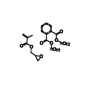 C=C(C)C(=O)OCC1CO1.CCCCCCCCOC(=O)c1ccccc1C(=O)OCCCCCCCC